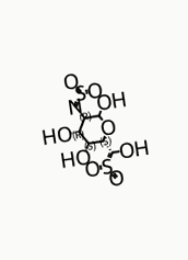 O=S(=O)=N[C@H]1C(O)O[C@H](C(O)=S(=O)=O)[C@@H](O)[C@@H]1O